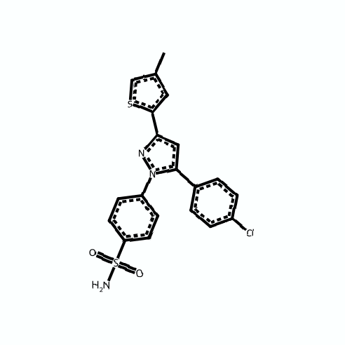 Cc1csc(-c2cc(-c3ccc(Cl)cc3)n(-c3ccc(S(N)(=O)=O)cc3)n2)c1